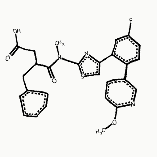 COc1ccc(-c2ccc(F)cc2-c2csc(N(C)C(=O)C(CC(=O)O)Cc3ccccc3)n2)cn1